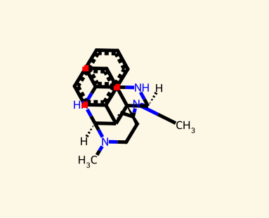 CN1CC[C@]23c4ccccc4N[C@H]1[C@]21CCN(C)[C@H]3Nc2ccccc21